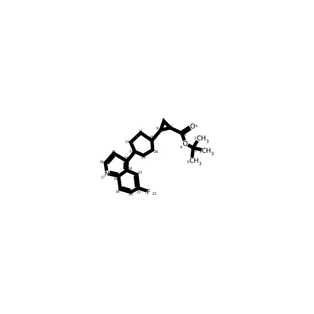 CC(C)(C)OC(=O)C1CC1C1CCC(c2ccnc3ccc(F)cc23)CC1